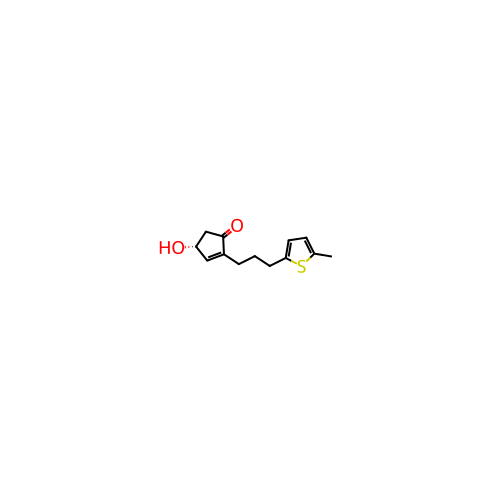 Cc1ccc(CCCC2=C[C@H](O)CC2=O)s1